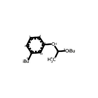 CCC(C)c1cccc(OC(C)OCC(C)C)c1